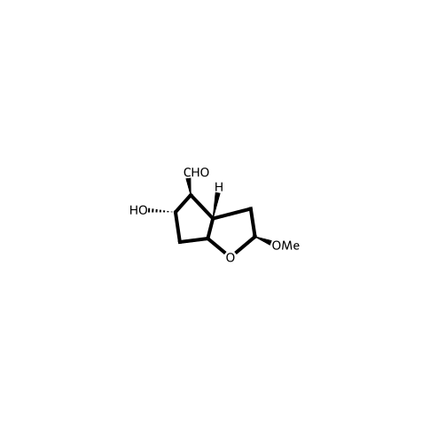 CO[C@@H]1C[C@@H]2C(C[C@H](O)[C@H]2C=O)O1